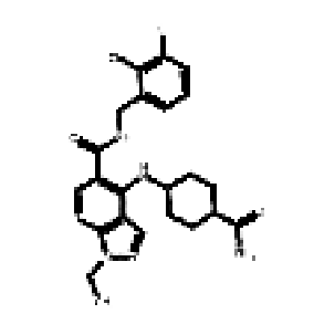 CCn1ncc2c(NC3CCC(C(N)=O)CC3)c(C(=O)NCc3cccc(Cl)c3Cl)cnc21